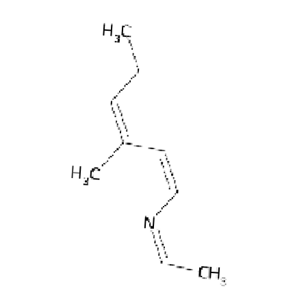 C\C=N/C=C\C(C)=C/CC